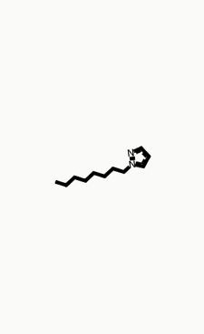 CCCCCCCCn1cccn1